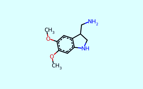 COc1cc2c(cc1OC)C(CN)CN2